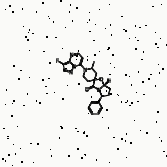 CC1CC2(CCN1c1ccnc3c(F)cnn13)O[C@@H]1CC[C@@H](c3ccccc3)N1C2=O